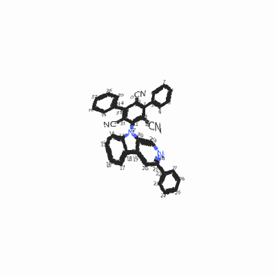 N#Cc1c(-c2ccccc2)c(C#N)c(-n2c3ccccc3c3cc(-c4ccccc4)ncc32)c(C#N)c1-c1ccccc1